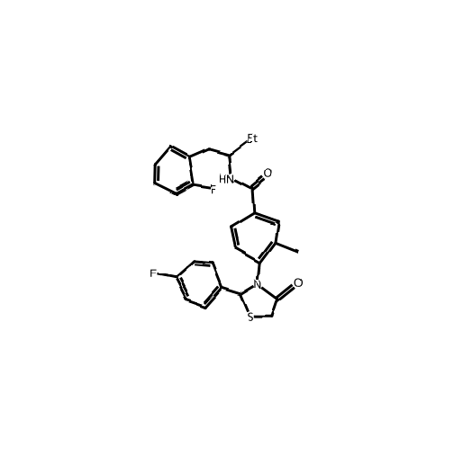 CCC(Cc1ccccc1F)NC(=O)c1ccc(N2C(=O)CSC2c2ccc(F)cc2)c(C)c1